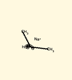 CCCCCCCCCCCCCCCCCC(=O)OC[C@H](COP(=O)([O-])O)OC(=O)CCCCCCCCCCCCCCCCC.[Na+]